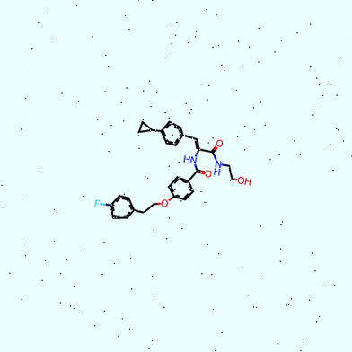 O=C(NCCO)C(=Cc1ccc(C2CC2)cc1)NC(=O)c1ccc(OCCc2ccc(F)cc2)cc1